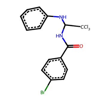 O=C(NC(Nc1ccccc1)C(Cl)(Cl)Cl)c1ccc(Br)cc1